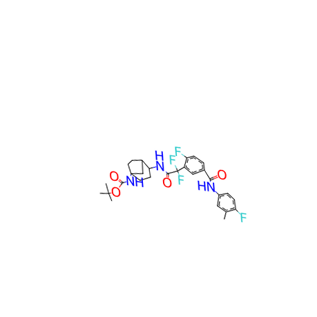 Cc1cc(NC(=O)c2ccc(F)c(C(F)(F)C(=O)NC3CCC4(NC(=O)OC(C)(C)C)CCC3C4)c2)ccc1F